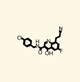 N#CCCc1cc(F)cc2c(O)c(C(=O)NCc3ccc(Cl)cc3)cnc12